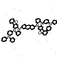 c1ccc(N(c2ccccc2)c2cccc(N3c4ccccc4N(c4ccc5cc6cc(N7c8ccccc8N(c8cccc(N(c9ccccc9)c9ccccc9)c8)c8cc9c(cc87)oc7ccccc79)ccc6cc5c4)c4cc5oc6ccccc6c5cc43)c2)cc1